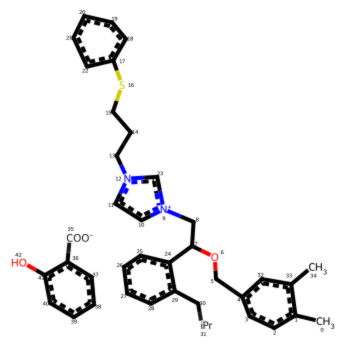 Cc1ccc(COC(C[n+]2ccn(CCCSc3ccccc3)c2)c2ccccc2CC(C)C)cc1C.O=C([O-])c1ccccc1O